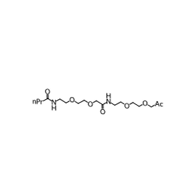 CCCC(=O)NCCOCCOCC(=O)NCCOCCOCC(C)=O